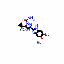 CCOc1cc2nc(-c3[c]c(C4(C(=O)O)CC4)n(C(N)=O)n3)[nH]c2cc1CC